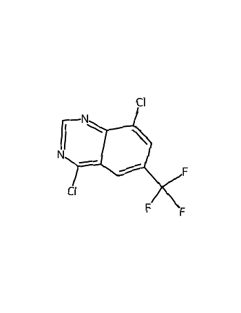 FC(F)(F)c1cc(Cl)c2ncnc(Cl)c2c1